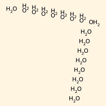 O.O.O.O.O.O.O.O.O.O.O.O.O.O.O.O.O